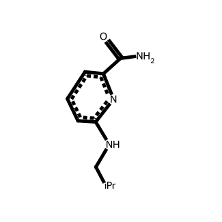 CC(C)CNc1cccc(C(N)=O)n1